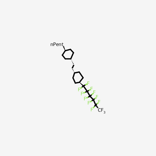 CCCCC[C@H]1CC[C@H](CC[C@H]2CC[C@H](C(F)(F)C(F)(F)C(F)(F)C(F)(F)C(F)(F)C(F)(F)F)CC2)CC1